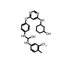 Cc1ccc(NC(O)Nc2ccc(Oc3cc(NC4CCCC(O)C4)ncn3)cc2)cc1C(F)(F)F